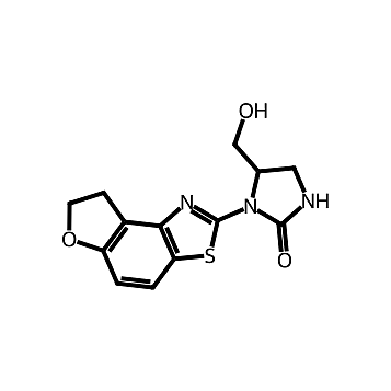 O=C1NCC(CO)N1c1nc2c3c(ccc2s1)OCC3